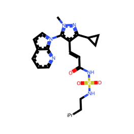 CC(C)CCNS(=O)(=O)NC(=O)C=Cc1c(C2CC2)nn(C)c1-n1ccc2cccnc21